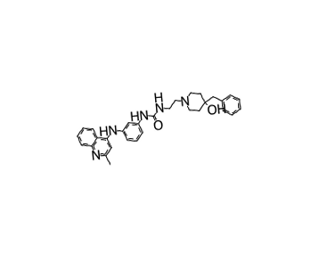 Cc1cc(Nc2cccc(NC(=O)NCCN3CCC(O)(Cc4ccccc4)CC3)c2)c2ccccc2n1